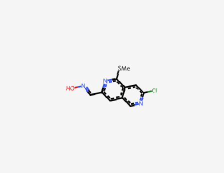 CSc1nc(C=NO)cc2cnc(Cl)cc12